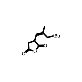 CC(=CC1CC(=O)OC1=O)CC(C)(C)C